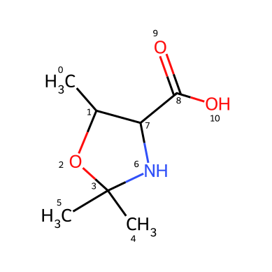 CC1OC(C)(C)NC1C(=O)O